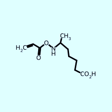 C=CC(=O)ONC(C)CCCCC(=O)O